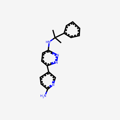 CC(C)(Nc1ccc(-c2ccc(N)nc2)nn1)c1ccccc1